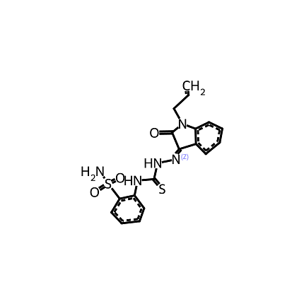 C=CCN1C(=O)/C(=N\NC(=S)Nc2ccccc2S(N)(=O)=O)c2ccccc21